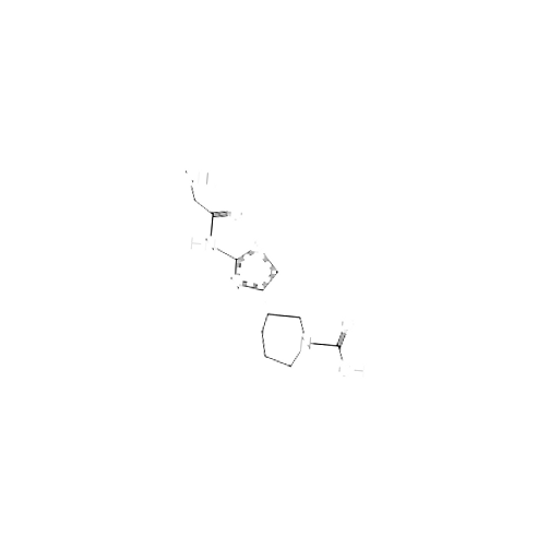 NCC(=O)Nc1nc([C@H]2CCCN(C(=O)O)C2)cs1